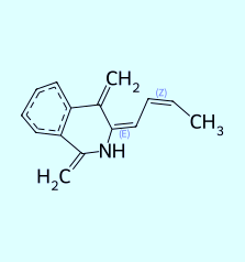 C=C1N/C(=C/C=C\C)C(=C)c2ccccc21